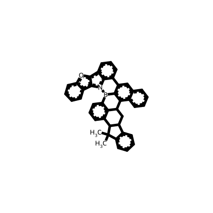 CC1(C)c2ccccc2C2CC3c4c(cccc4C21)B1c2c(cc4ccccc4c23)-c2cccc3c4oc5ccccc5c4n1c23